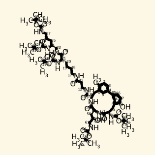 Cc1ccc2cc1C[C@@H](C(=O)NCCC(=O)NCCCC[C@H](NC(=O)OC(C)(C)C)C(=O)NC[C@H](CCCNC(=O)OC(C)(C)C)NC(=O)OC(C)(C)C)NC(=O)[C@H](C[C@@H](O)CNC(=O)OC(C)(C)C)NC(=O)[C@@H](NC(=O)OC(C)(C)C)Cc1cc-2ccc1O